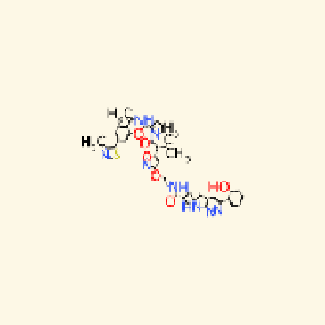 Cc1ncsc1-c1ccc([C@H](C)NC(=O)[C@@H]2CCCN2C(=O)C(c2cc(OCCNC(=O)[C@H]3C[C@@]4(Cc5cc(-c6ccccc6O)nnc5N4)C3)no2)C(C)C)cc1